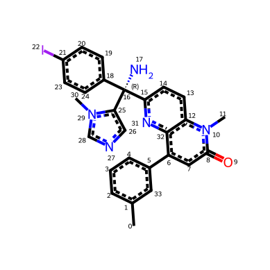 Cc1cccc(-c2cc(=O)n(C)c3ccc([C@](N)(c4ccc(I)cc4)c4cncn4C)nc23)c1